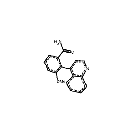 COc1cccc(C(N)=O)c1-c1ccnc2ccccc12